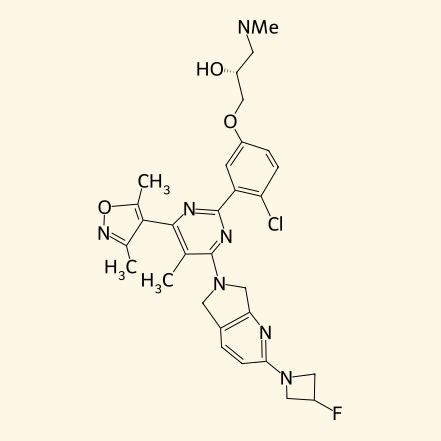 CNC[C@@H](O)COc1ccc(Cl)c(-c2nc(-c3c(C)noc3C)c(C)c(N3Cc4ccc(N5CC(F)C5)nc4C3)n2)c1